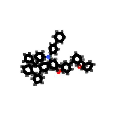 c1ccc(-c2ccc(N(c3cccc(C4(c5ccccc5)c5ccccc5-c5ccccc5-c5ccccc54)c3)c3ccc4oc5ccc(-c6cccc7c6oc6ccccc67)cc5c4c3)cc2)cc1